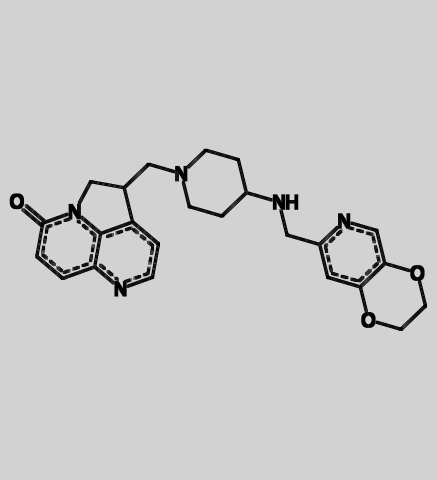 O=c1ccc2nccc3c2n1CC3CN1CCC(NCc2cc3c(cn2)OCCO3)CC1